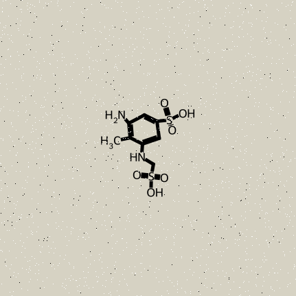 Cc1c(N)cc(S(=O)(=O)O)cc1NCS(=O)(=O)O